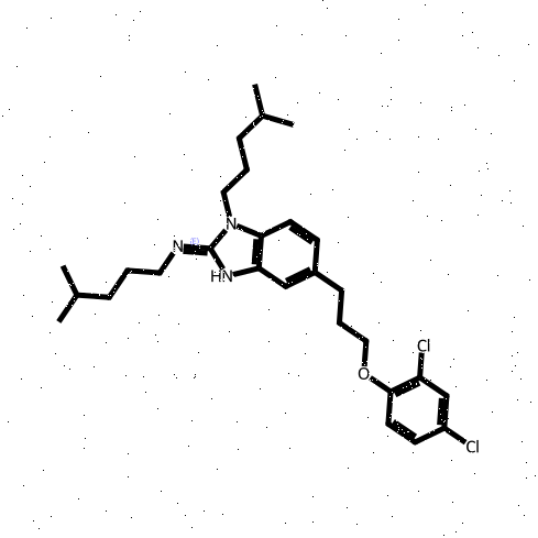 CC(C)CCC/N=c1\[nH]c2cc(CCCOc3ccc(Cl)cc3Cl)ccc2n1CCCC(C)C